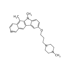 Cc1c2ccncc2cc2c3cc(OCCCN4CCN(C)CC4)ccc3n(C)c12